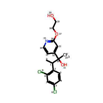 CC(c1ccc(Cl)cc1Cl)C(O)(c1ccnc(OCCO)c1)C(F)(F)F